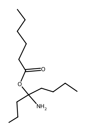 CCCCCC(=O)OC(N)(CCC)CCCC